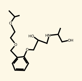 CC(CO)NCC(O)COc1ccccc1COCCOC(C)C